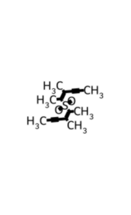 CC#CC(C)=C(C)S(=O)(=O)C(C)=C(C)C#CC